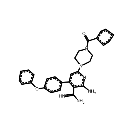 N=C(N)c1c(-c2ccc(Oc3ccccc3)cc2)cc(N2CCN(C(=O)c3ccccc3)CC2)nc1N